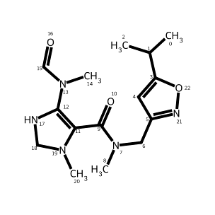 CC(C)c1cc(CN(C)C(=O)C2=C(N(C)C=O)NCN2C)no1